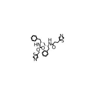 O=C(CCc1cncs1)N[C@@H](CC[C@@H](Cc1ccccc1)NC(=O)OCc1cncs1)Cc1ccccc1